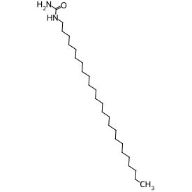 CCCCCCCCCCCCCCCCCCCCCCCCCNC(N)=O